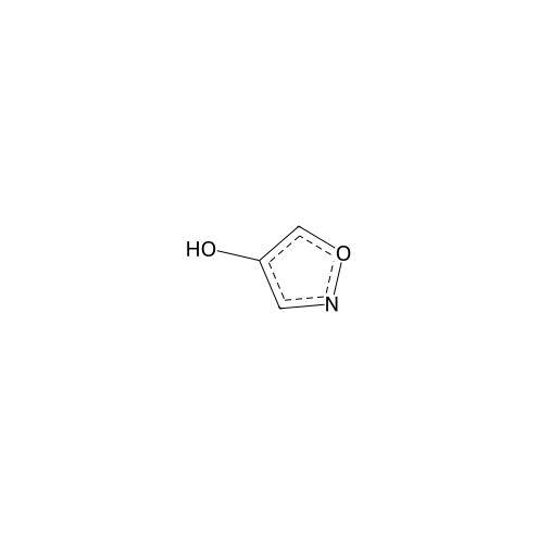 Oc1cnoc1